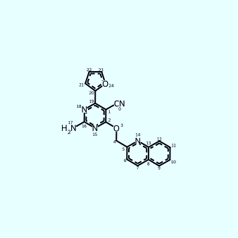 N#Cc1c(OCc2ccc3ccccc3n2)nc(N)nc1-c1ccco1